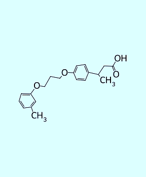 Cc1cccc(OCCCOc2ccc(C(C)CC(=O)O)cc2)c1